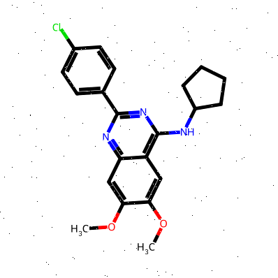 COc1cc2nc(-c3ccc(Cl)cc3)nc(NC3CCCC3)c2cc1OC